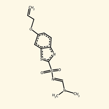 C=CCOc1ccc2nc(S(=O)(=O)/N=C/N(C)C)sc2c1